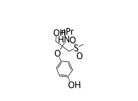 CCCNC(CO)(CS(C)(=O)=O)Oc1ccc(O)cc1